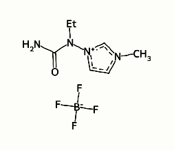 CCN(C(N)=O)[n+]1ccn(C)c1.F[B-](F)(F)F